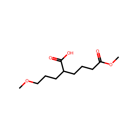 COCCCC(CCCC(=O)OC)C(=O)O